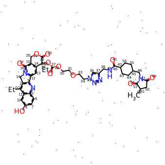 CCc1c2c(nc3ccc(O)cc13)-c1cc3c(c(=O)n1C2)COC(=O)[C@@]3(CC)OC(=O)OCCOCCn1cc(CNC(=O)C2CCC(CN3C(=O)CC(C)C3=O)CC2)nn1